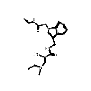 CCNC(=O)Cn1cc(CNC(=O)C(O)CN(C)CC)c2ccccc21